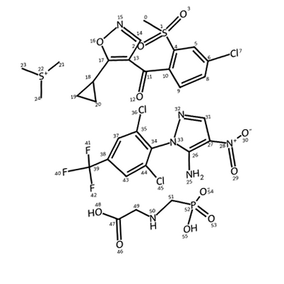 CS(=O)(=O)c1cc(Cl)ccc1C(=O)c1cnoc1C1CC1.C[S+](C)C.Nc1c([N+](=O)[O-])cnn1-c1c(Cl)cc(C(F)(F)F)cc1Cl.O=C(O)CNCP(=O)([O-])O